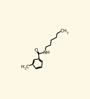 CCCCCCNC(=O)c1cccc(C)c1